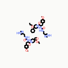 CCCOC1(C2CCCCC2)CCN(C(=O)C(Cc2ccc(OC)cc2)NC(=O)NCCc2c[nH]cn2)CC1.CCOC(=O)C1(CC)CCN(C(=O)C(Cc2ccc(OC)cc2)NC(=O)NCCc2c[nH]cn2)CC1